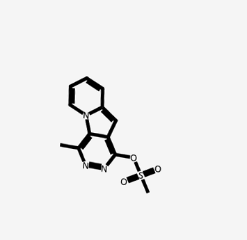 Cc1nnc(OS(C)(=O)=O)c2cc3ccccn3c12